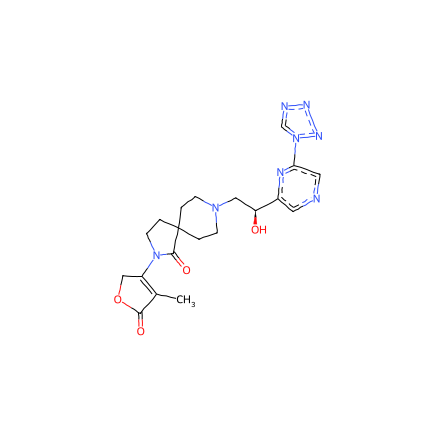 CC1=C(N2CCC3(CCN(C[C@H](O)c4cncc(-n5cnnn5)n4)CC3)C2=O)COC1=O